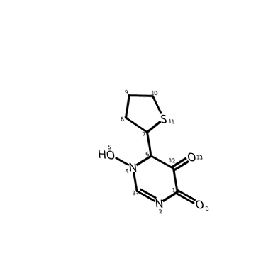 O=C1N=[C]N(O)C(C2CCCS2)C1=O